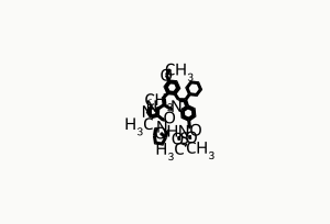 COc1ccc2c(c1)C=C(c1c(C(=O)N3CC4CCC(C3)O4)c(C)nn1C)Cn1c-2c(C2CCCCC2)c2ccc(C(=O)NS(=O)(=O)C(C)C)cc21